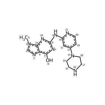 Cn1cnc2c(O)nc(Nc3cc(N4CCNCC4)ccn3)nc21